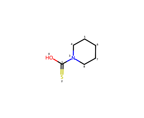 OC(=S)N1CCCCC1